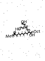 CCCCCCCCC(O)C(CCCCCCCC(=O)OC)OCCN(CCO)CCO